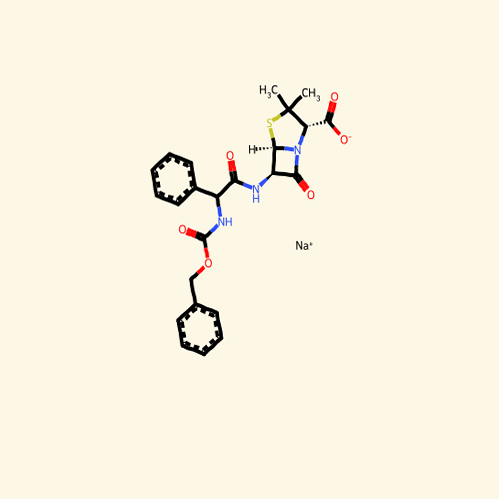 CC1(C)S[C@@H]2[C@H](NC(=O)C(NC(=O)OCc3ccccc3)c3ccccc3)C(=O)N2[C@H]1C(=O)[O-].[Na+]